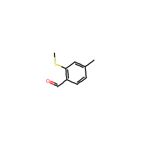 CSc1cc(C)ccc1[C]=O